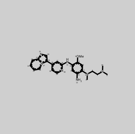 COc1cc(N(C)CCN(C)C)c(N)cc1Nc1cc(-c2cnc3ccccn23)ccn1